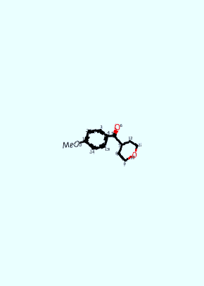 COc1ccc(C(=O)C2CCOCC2)cc1